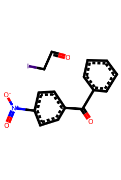 O=C(c1ccccc1)c1ccc([N+](=O)[O-])cc1.O=CCI